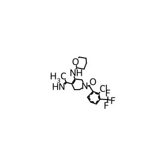 CC(=N)C1=C(NC2CCCCO2)CN(C(=O)c2cccc(C(F)(F)F)c2Cl)CC1